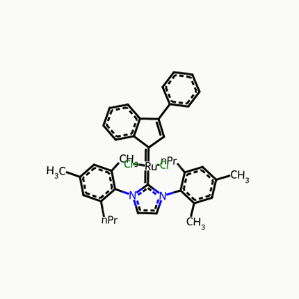 CCCc1cc(C)cc(C)c1-n1ccn(-c2c(C)cc(C)cc2CCC)[c]1=[Ru]([Cl])([Cl])=[C]1C=C(c2ccccc2)c2ccccc21